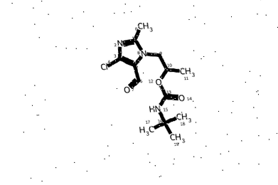 Cc1nc(Cl)c(C=O)n1CC(C)OC(=O)NC(C)(C)C